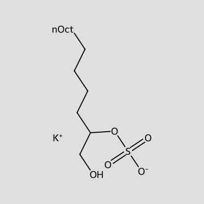 CCCCCCCCCCCCC(CO)OS(=O)(=O)[O-].[K+]